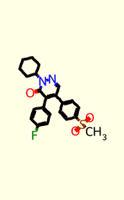 CS(=O)(=O)c1ccc(-c2cnn(C3CCCCC3)c(=O)c2-c2ccc(F)cc2)cc1